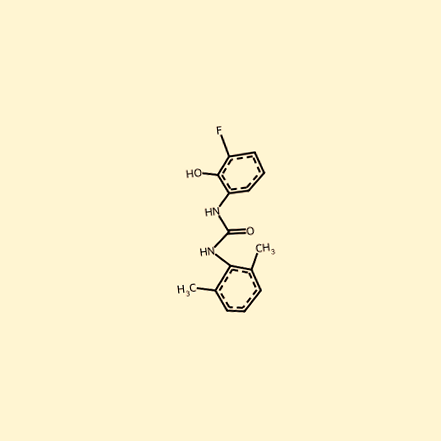 Cc1cccc(C)c1NC(=O)Nc1cccc(F)c1O